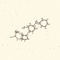 CC(N)Cn1ccc(-c2ccc(Oc3ccccc3)cc2F)n1